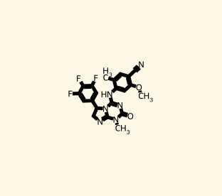 COc1cc(NC2=NC(=O)N(C)C3=NCC(c4cc(F)c(F)c(F)c4)N23)c(C)cc1C#N